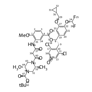 COc1ccc(C(=O)O[C@@H](Cc2c(Cl)c[n+]([O-])cc2Cl)c2ccc(OC(F)F)c(OCC3CC3)c2)cc1NC(=O)CC(=O)N1C[C@@H](C)N(C(=O)OC(C)(C)C)C[C@@H]1C